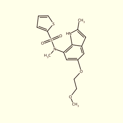 COCCOc1cc(N(C)S(=O)(=O)c2cccs2)c2[nH]c(C)cc2c1